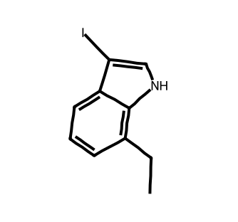 CCc1cccc2c(I)c[nH]c12